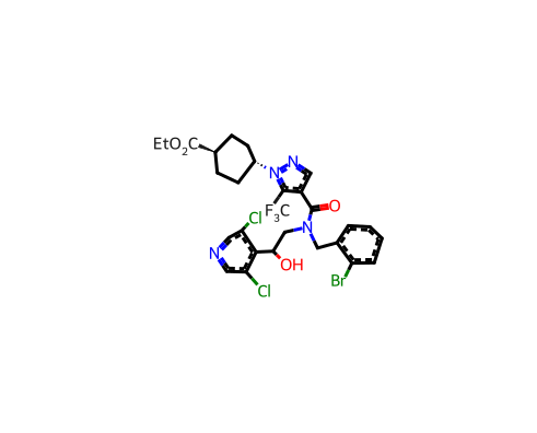 CCOC(=O)[C@H]1CC[C@H](n2ncc(C(=O)N(Cc3ccccc3Br)CC(O)c3c(Cl)cncc3Cl)c2C(F)(F)F)CC1